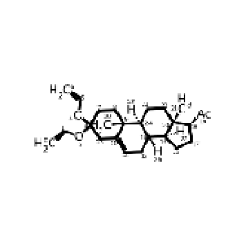 C=COC1(OC=C)CC[C@@]2(C)C(=CC[C@H]3[C@@H]4CC[C@H](C(C)=O)[C@@]4(C)CC[C@@H]32)C1